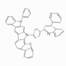 c1ccc(-c2cc(-c3ccc(-n4c5cc6c(cc5c5ccc7c8ccccc8sc7c54)c4ccccc4n6-c4ccccc4)cc3)nc3ccccc23)cc1